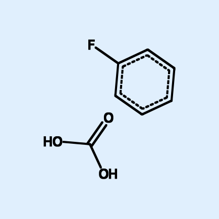 Fc1ccccc1.O=C(O)O